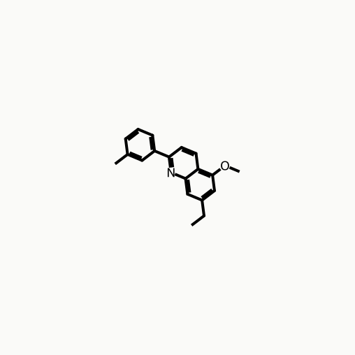 CCc1cc(OC)c2ccc(-c3cccc(C)c3)nc2c1